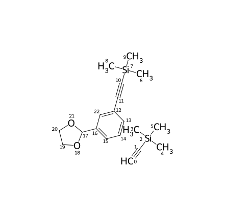 C#C[Si](C)(C)C.C[Si](C)(C)C#Cc1cccc(C2OCCO2)c1